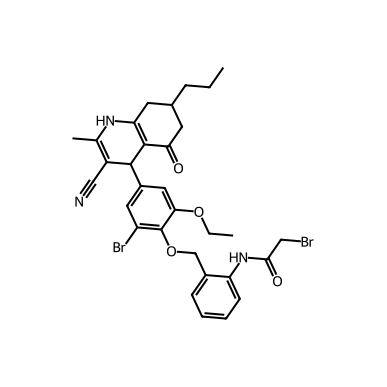 CCCC1CC(=O)C2=C(C1)NC(C)=C(C#N)C2c1cc(Br)c(OCc2ccccc2NC(=O)CBr)c(OCC)c1